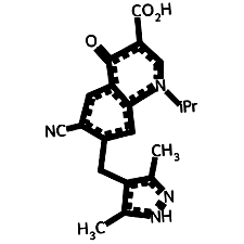 Cc1n[nH]c(C)c1Cc1cc2c(cc1C#N)c(=O)c(C(=O)O)cn2C(C)C